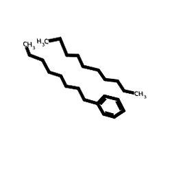 CCCCCCCCCC.CCCCCCCCc1ccccc1